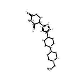 BCN1CCC(N2CCC(c3cn(C4CCC(=O)NC4=O)nn3)CC2)CC1